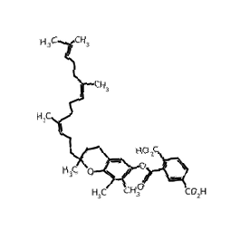 CC(C)=CCCC(C)=CCCC(C)=CCCC1(C)CCc2cc(OC(=O)c3cc(C(=O)O)ccc3C(=O)O)c(C)c(C)c2O1